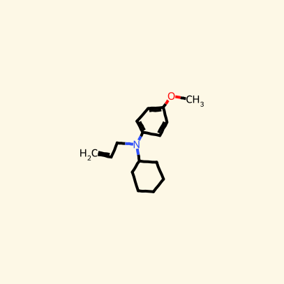 C=CCN(c1ccc(OC)cc1)C1CCCCC1